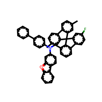 Cc1ccc2c(c1)C1(c3cc(C)ccc3-2)c2cc(F)ccc2-c2cccc(CN(c3ccc(-c4ccccc4)cc3)c3ccc4c(c3)oc3ccccc34)c21